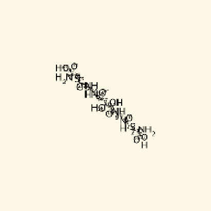 NC(CSCC(=O)NCCNC(=O)[C@@H](O)[C@H](O)CC[S+]([O-])NCCNC(=O)CSCC(N)C(=O)O)C(=O)O